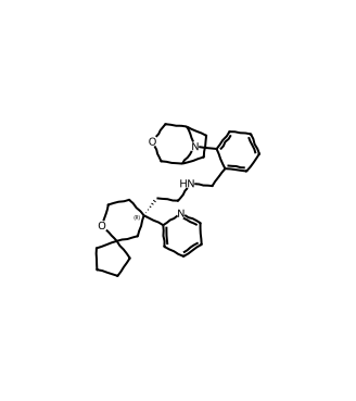 c1ccc([C@]2(CCNCc3ccccc3N3C4CCC3COC4)CCOC3(CCCC3)C2)nc1